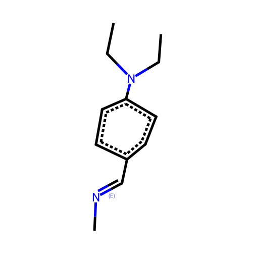 CCN(CC)c1ccc(/C=N/C)cc1